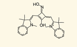 CN1C(=CC2=C(O)C(=CC3=[N+](C)c4ccccc4C3(C)C)/C2=N/O)C(C)(C)c2ccccc21